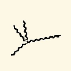 CC=CCCCCCCCCCCC[Si](CCCCCCCC)(CCCCCCCC)CCCCCCCC